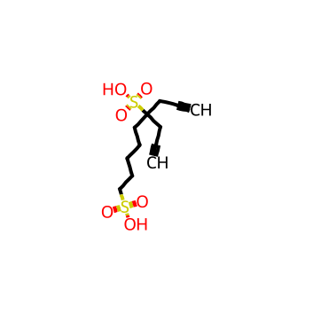 C#CCC(CC#C)(CCCCCS(=O)(=O)O)S(=O)(=O)O